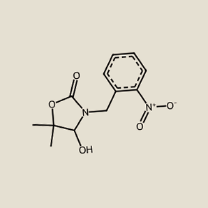 CC1(C)OC(=O)N(Cc2ccccc2[N+](=O)[O-])C1O